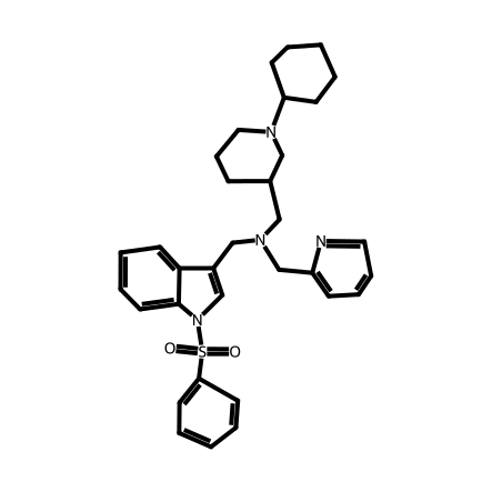 O=S(=O)(c1ccccc1)n1cc(CN(Cc2ccccn2)CC2CCCN(C3CCCCC3)C2)c2ccccc21